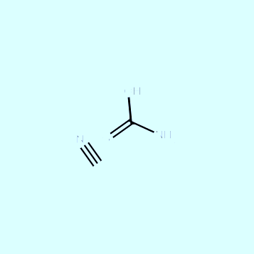 C#N.NC(=O)O